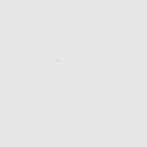 CCc1cc2ccc(C(C)(C#N)Cc3cccc(C)c3F)cc2[nH]c1=O